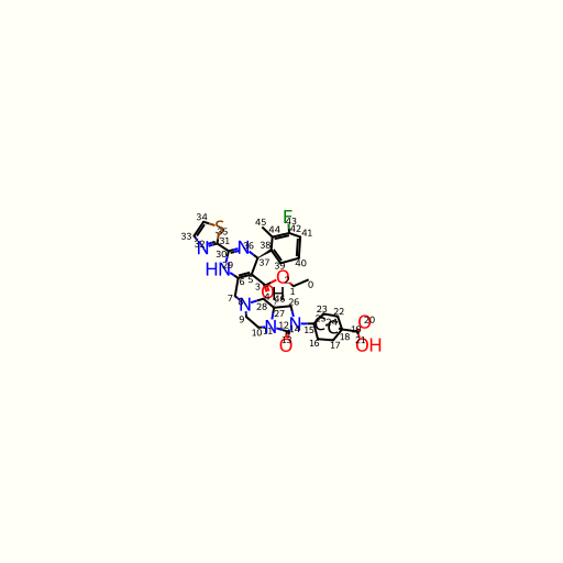 CCOC(=O)C1=C(CN2CCN3C(=O)N(C45CCC(C(=O)O)(CC4)CC5)C[C@@H]3C2)NC(c2nccs2)=N[C@H]1c1cccc(F)c1C